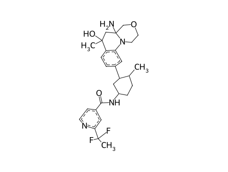 CC1CCC(NC(=O)c2ccnc(C(C)(F)F)c2)CC1c1ccc2c(c1)N1CCOCC1(N)CC2(C)O